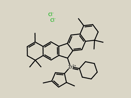 CC1=CC(C)[C]([Zr+2](=[C]2CCCCC2)[CH]2c3cc4c(cc3-c3cc5c(cc32)C(C)(C)CC=C5C)C(C)=CCC4(C)C)=C1.[Cl-].[Cl-]